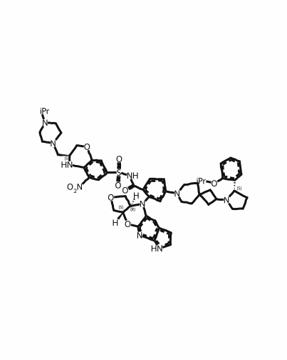 CC(C)Oc1ccccc1[C@@H]1CCCN1C1CC2(CCN(c3ccc(C(=O)NS(=O)(=O)c4cc5c(c([N+](=O)[O-])c4)N[C@@H](CN4CCN(C(C)C)CC4)CO5)c(N4c5cc6cc[nH]c6nc5O[C@@H]5COC[C@H]54)c3)CC2)C1